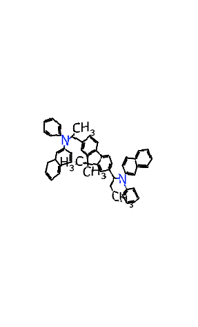 CCC(c1ccc2c(c1)C(C)(C)c1cc(C(C)N(C3=CC4CC=CC=C4C=C3)c3ccccc3)ccc1-2)N(c1ccccc1)c1ccc2ccccc2c1